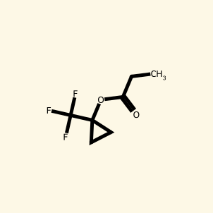 CCC(=O)OC1(C(F)(F)F)CC1